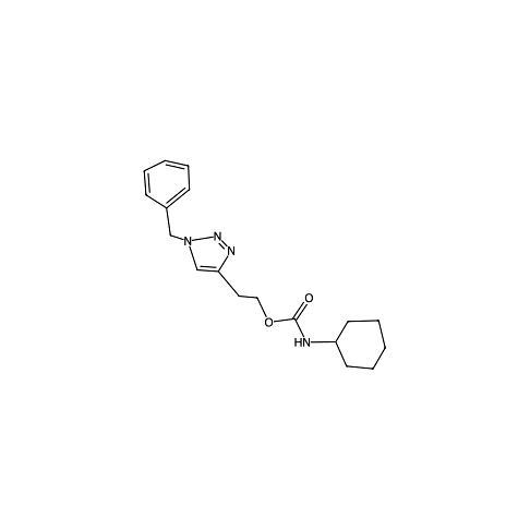 O=C(NC1CCCCC1)OCCc1cn(Cc2ccccc2)nn1